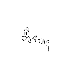 C#CCCC(=O)N1CCC(c2nc(C(=O)Nc3ccccc3N3CCOCC3)cs2)CC1